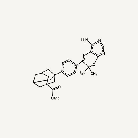 COC(=O)C12CC3CC(C1)CC(c1ccc(C4=Nc5c(N)ncnc5OC4(C)C)cc1)(C3)C2